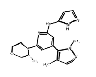 Cc1cnn(C)c1-c1cc(Nc2ccn[nH]2)nc(N2CCOC[C@H]2C)c1